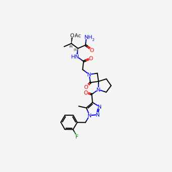 CC(=O)O[C@H](C)[C@H](NC(=O)CN1CC2(CCCN2C(=O)c2nnn(Cc3ccccc3F)c2C)C1=O)C(N)=O